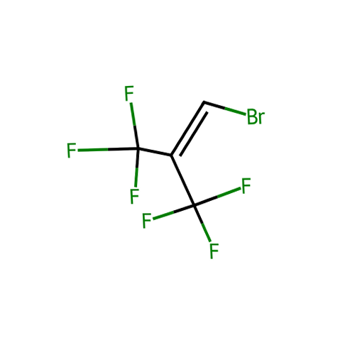 FC(F)(F)C(=CBr)C(F)(F)F